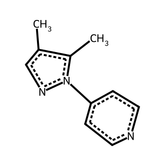 Cc1cnn(-c2ccncc2)c1C